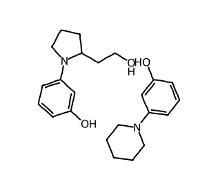 OCCC1CCCN1c1cccc(O)c1.Oc1cccc(N2CCCCC2)c1